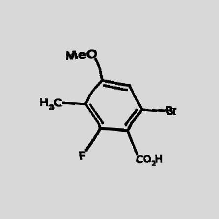 COc1cc(Br)c(C(=O)O)c(F)c1C